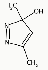 CC1=CC(C)(O)N=N1